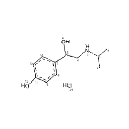 CC(C)NCC(O)c1ccc(O)cc1.Cl